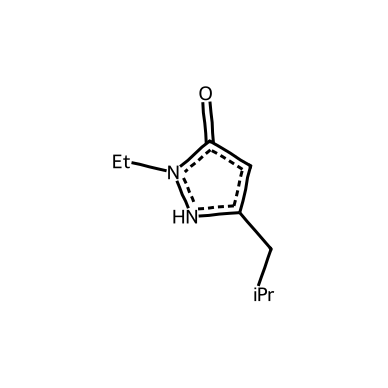 CCn1[nH]c(CC(C)C)cc1=O